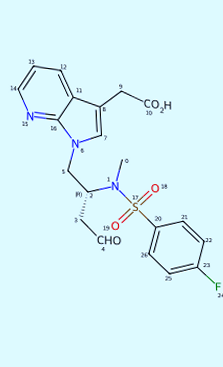 CN([C@H](CC=O)Cn1cc(CC(=O)O)c2cccnc21)S(=O)(=O)c1ccc(F)cc1